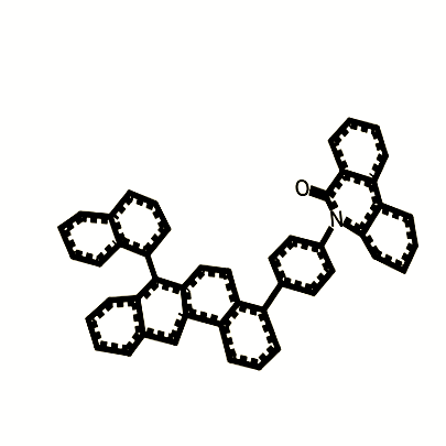 O=c1c2ccccc2c2ccccc2n1-c1ccc(-c2cccc3c2ccc2c(-c4cccc5ccccc45)c4ccccc4cc23)cc1